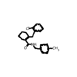 Cc1ccc(CNC(=O)C2=C(Cc3ccccc3Cl)CCCC2)cc1